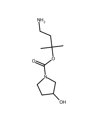 CC(C)(CCN)OC(=O)N1CCC(O)C1